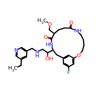 CCc1cncc(CNCC(O)C2Cc3cc(F)cc(c3)OCCCCNC(=O)CCC(COC)C(=O)N2)c1